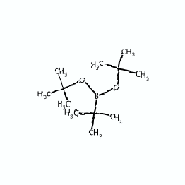 CC(C)(C)OB(OC(C)(C)C)C(C)(C)C